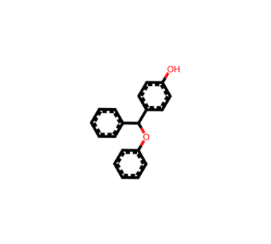 Oc1ccc(C(Oc2ccccc2)c2ccccc2)cc1